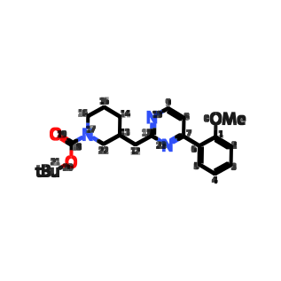 COc1ccccc1-c1ccnc(CC2CCCN(C(=O)OC(C)(C)C)C2)n1